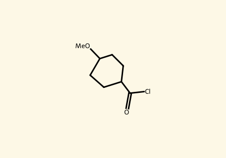 COC1CCC(C(=O)Cl)CC1